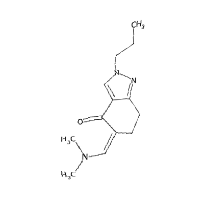 CCCn1cc2c(n1)CC/C(=C/N(C)C)C2=O